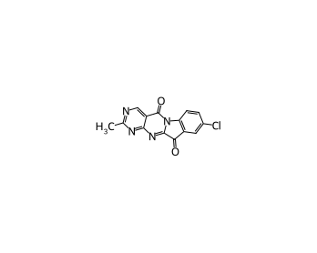 Cc1ncc2c(=O)n3c(nc2n1)C(=O)c1cc(Cl)ccc1-3